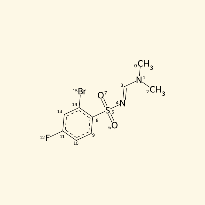 CN(C)C=NS(=O)(=O)c1ccc(F)cc1Br